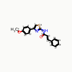 COc1ccc(-c2csc(NC(=O)/C=C/c3ccccc3)n2)cc1